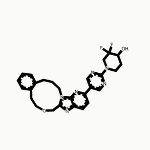 OC1CCN(c2ncc(-c3ccc4nc5n(c4n3)CCCc3ccccc3CCOC5)cn2)CC1(F)F